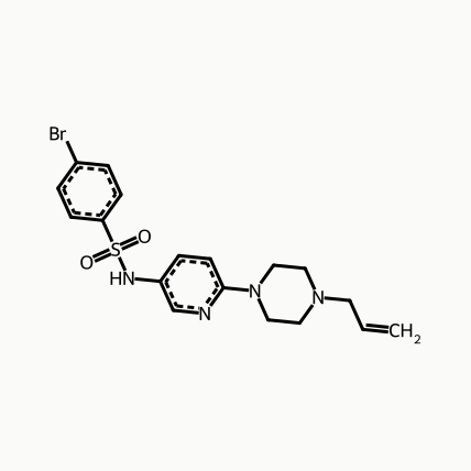 C=CCN1CCN(c2ccc(NS(=O)(=O)c3ccc(Br)cc3)cn2)CC1